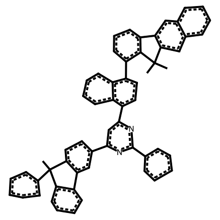 CC1(C)c2cc3ccccc3cc2-c2cccc(-c3ccc(-c4cc(-c5ccc6c(c5)-c5ccccc5C6(C)c5ccccc5)nc(-c5ccccc5)n4)c4ccccc34)c21